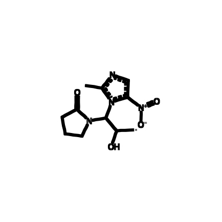 [CH2]C(O)C(N1CCCC1=O)n1c([N+](=O)[O-])cnc1C